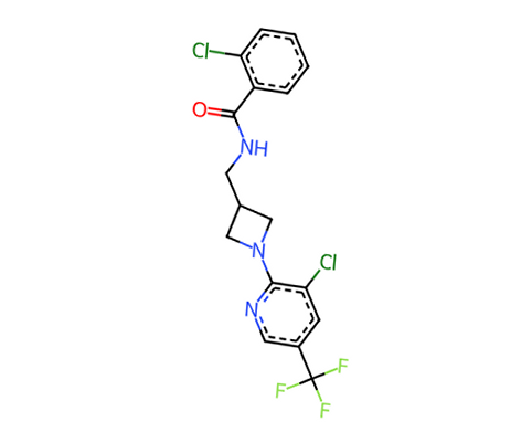 O=C(NCC1CN(c2ncc(C(F)(F)F)cc2Cl)C1)c1ccccc1Cl